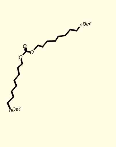 CCCCCCCCCCCCCCCCCCOC(=O)OCCCCCCCCCCCCCCCCCC